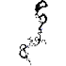 Cc1ccc2c(n1)/C(=N/OCC(C)(C)CO/N=C/c1cccc(Oc3ccccc3)n1)CCC2